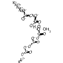 O.O.O=[Si]([O-])[O-].O=[Si]([O-])[O-].O=[Si]([O-])[O-].O=[Si]([O-])[O-].O=[Si]([O-])[O-].[Al+3].[Al+3].[K+].[K+].[Na+].[Na+]